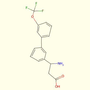 NC(CC(=O)O)c1cccc(-c2cccc(OC(F)(F)F)c2)c1